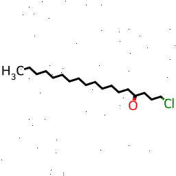 CCCCCCCCCCCCCCC(=O)CCCCl